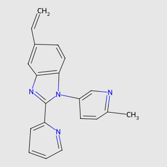 C=Cc1ccc2c(c1)nc(-c1ccccn1)n2-c1ccc(C)nc1